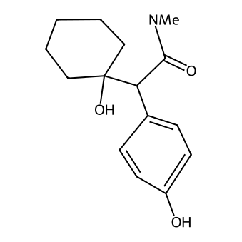 CNC(=O)C(c1ccc(O)cc1)C1(O)CCCCC1